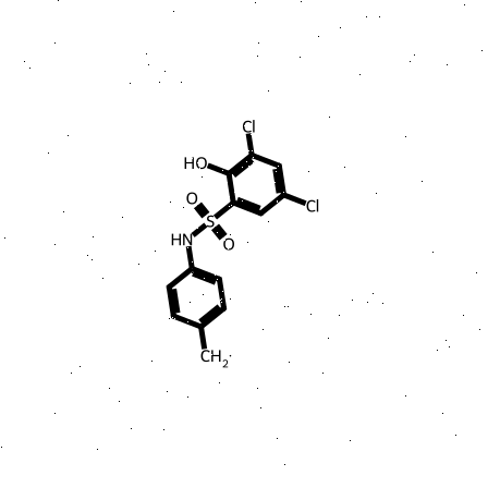 [CH2]c1ccc(NS(=O)(=O)c2cc(Cl)cc(Cl)c2O)cc1